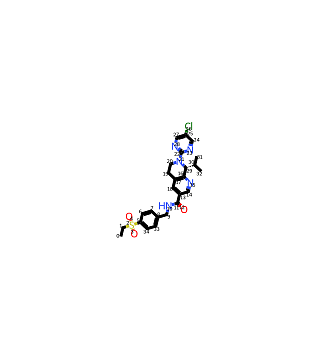 CCS(=O)(=O)c1ccc(CNC(=O)c2cnc3c(c2)CCN(c2ncc(Cl)cn2)[C@@H]3C(C)C)cc1